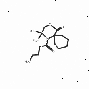 CCCCC(=O)N1C(C)(C)COC(=O)C12CCCCC2